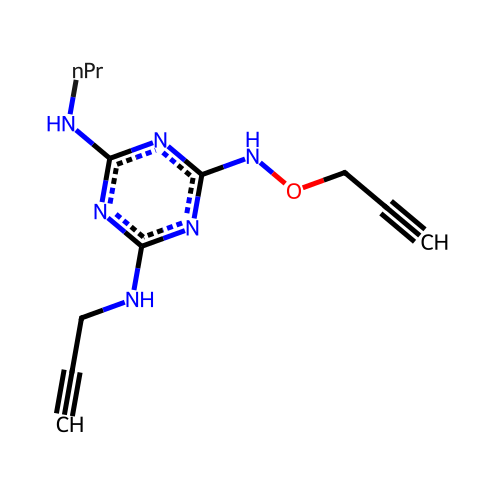 C#CCNc1nc(NCCC)nc(NOCC#C)n1